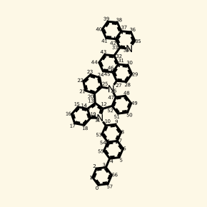 c1ccc(-c2ccc3ccc(-n4c5c(c6ccccc64)-c4ccccc4N(c4cccc6c(-c7nccc8ccccc78)cccc46)c4ccccc4-5)cc3c2)cc1